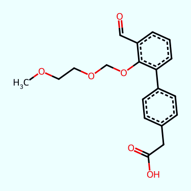 COCCOCOc1c(C=O)cccc1-c1ccc(CC(=O)O)cc1